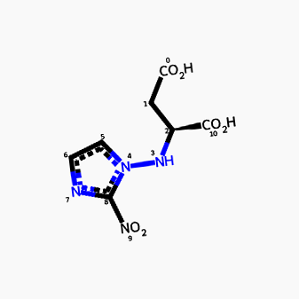 O=C(O)C[C@H](Nn1ccnc1[N+](=O)[O-])C(=O)O